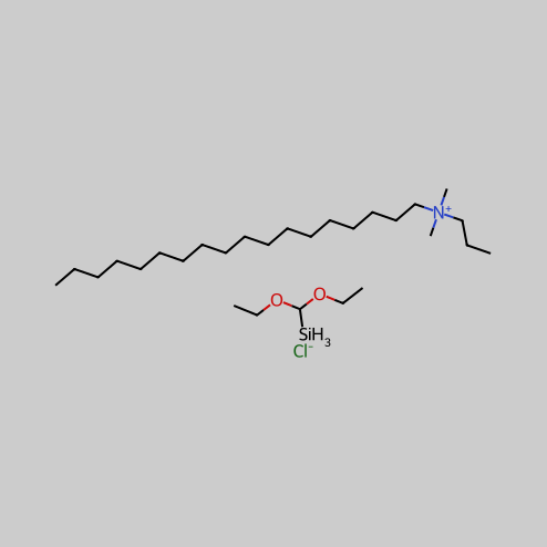 CCCCCCCCCCCCCCCCCC[N+](C)(C)CCC.CCOC([SiH3])OCC.[Cl-]